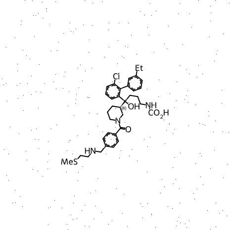 CCc1cccc(-c2c(Cl)cccc2C(O)(CCCNC(=O)O)[C@@H]2CCCN(C(=O)c3ccc(CNCCSC)cc3)C2)c1